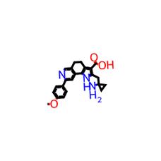 COc1ccc(-c2cc3c(cn2)CCc2c-3[nH]c(CC3(N)CC3)c2C(=O)O)cc1